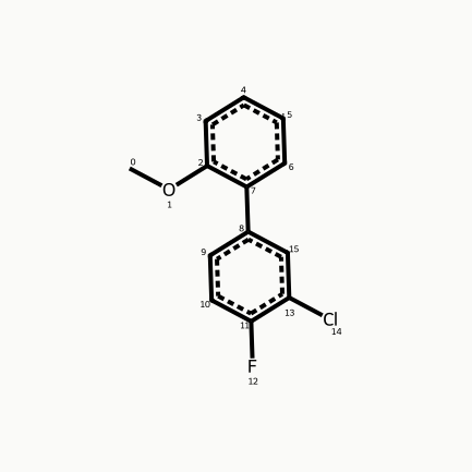 COc1cc[c]cc1-c1ccc(F)c(Cl)c1